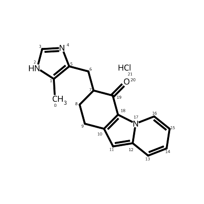 Cc1[nH]cnc1CC1CCc2cc3ccccn3c2C1=O.Cl